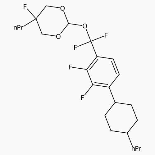 CCCC1CCC(c2ccc(C(F)(F)OC3OCC(F)(CCC)CO3)c(F)c2F)CC1